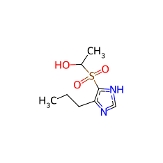 CCCc1nc[nH]c1S(=O)(=O)C(C)O